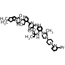 C=CC(=O)Nc1cc(Nc2nc(-c3ccnc(N4CCn5c(cc6c5CC(C)(C)C6)C4=O)c3CO)cn(C)c2=O)ccc1N1CCN(C2CCN(c3cccc(C(C)C)n3)CC2)C[C@@H]1C